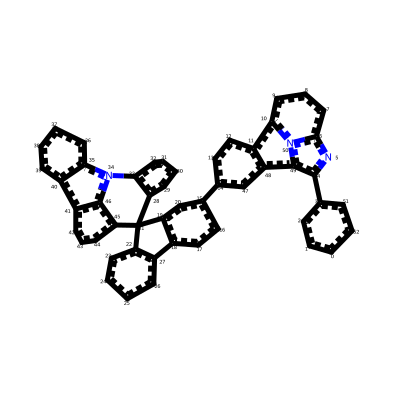 c1ccc(-c2nc3cccc4c5ccc(-c6ccc7c(c6)C6(c8ccccc8-7)c7ccccc7-n7c8ccccc8c8cccc6c87)cc5c2n34)cc1